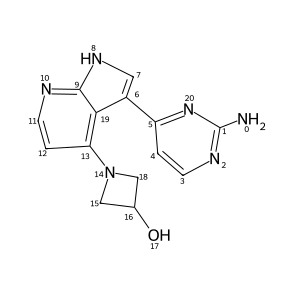 Nc1nccc(-c2c[nH]c3nccc(N4CC(O)C4)c23)n1